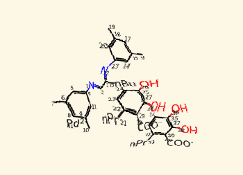 CCCCC(C=Nc1cc(C)cc(C)c1)=Nc1cc(C)cc(C)c1.CCCc1ccc(O)c(O)c1C(=O)[O-].CCCc1ccc(O)c(O)c1C(=O)[O-].[Pd+2]